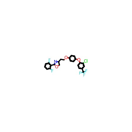 Fc1cccc(F)c1C1=NC(CCOc2ccc(Oc3ccc(C(F)(F)F)cc3Cl)cc2)CO1